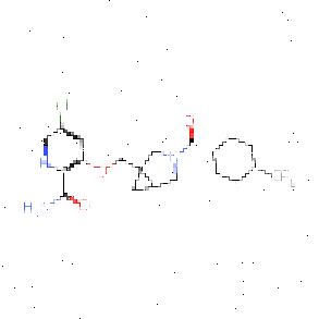 NC(=O)c1ncc(Cl)cc1OCC12CC1CN(C(=O)[C@H]1CC[C@H](C(F)(F)F)CC1)C2